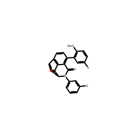 COc1ccc(F)cc1-c1ccc2c3c1C(=O)N(c1cccc(Cl)c1)C(C=C2)C3=O